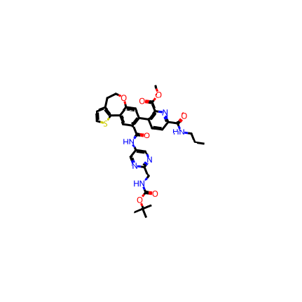 CCCNC(=O)c1ccc(-c2cc3c(cc2C(=O)Nc2cnc(CNC(=O)OC(C)(C)C)nc2)-c2sccc2CCO3)c(C(=O)OC)n1